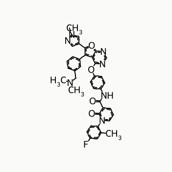 Cc1cc(F)ccc1-n1cccc(C(=O)Nc2ccc(Oc3ncnc4oc(-c5cnn(C)c5)c(-c5cccc(CN(C)C)c5)c34)cc2)c1=O